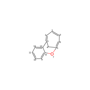 C1=CC=C2CC(=C1)Oc1ccccc12